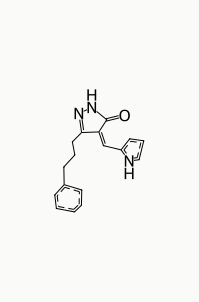 O=C1NN=C(CCCc2ccccc2)C1=Cc1ccc[nH]1